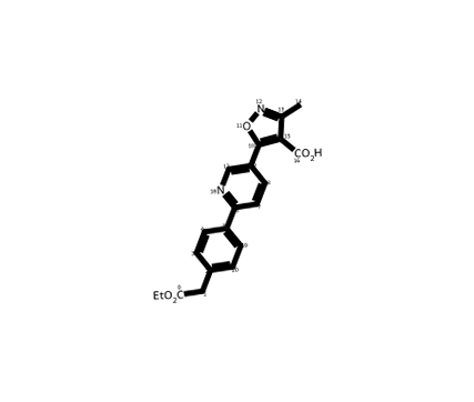 CCOC(=O)Cc1ccc(-c2ccc(-c3onc(C)c3C(=O)O)cn2)cc1